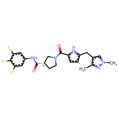 Cc1nn(C)cc1Cc1ccc(C(=O)N2CC[C@H](C(=O)Nc3cc(F)c(F)c(F)c3)C2)[nH]1